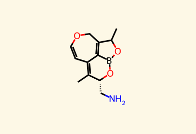 CC1=C2C=COCC3=C2B(OC3C)O[C@@H]1CN